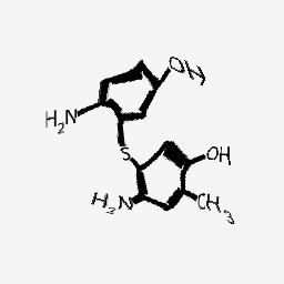 Cc1cc(N)c(Sc2cc(O)ccc2N)cc1O